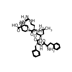 CC(C)C[C@@H](NC(=O)[C@@H](Cc1ccccc1)NC(=O)[C@H](N)Cc1ccccc1)C(=O)N[C@H](CCNC(=N)N)C(=O)N1CCC(N)(C(=O)O)CC1